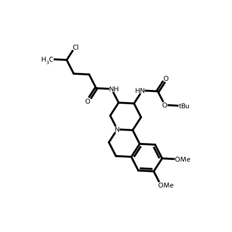 COc1cc2c(cc1OC)C1CC(NC(=O)OC(C)(C)C)C(NC(=O)CCC(C)Cl)CN1CC2